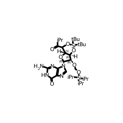 CC(C)C(=O)C1O[Si](C(C)(C)C)(C(C)(C)C)O[C@H]2[C@@H](OCO[Si](C(C)C)(C(C)C)C(C)C)[C@H](n3cnc4c(=O)[nH]c(N)nc43)O[C@H]12